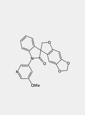 COc1cncc(N2C(=O)C3(COc4cc5c(cc43)OCO5)c3ccccc32)c1